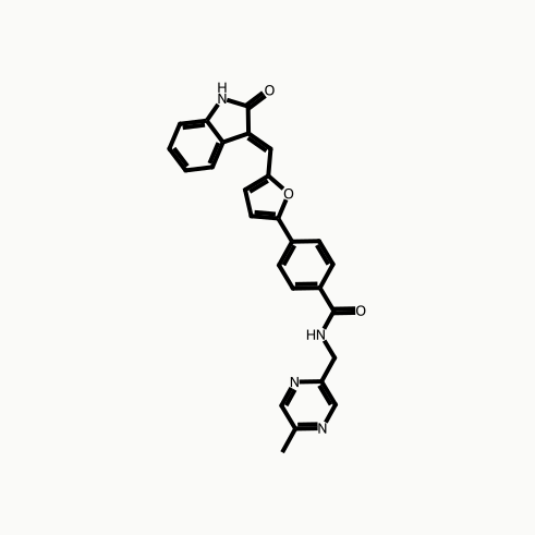 Cc1cnc(CNC(=O)c2ccc(-c3ccc(/C=C4/C(=O)Nc5ccccc54)o3)cc2)cn1